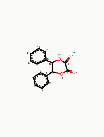 O=C1OC(c2ccccc2)C(c2ccccc2)OC1=O